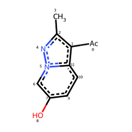 CC(=O)c1c(C)nn2cc(O)ccc12